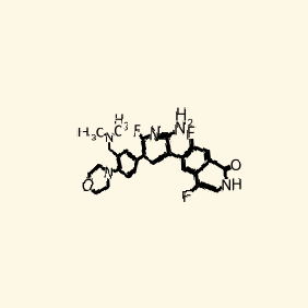 CN(C)Cc1cc(-c2cc(-c3cc4c(F)c[nH]c(=O)c4cc3F)c(N)nc2F)ccc1N1CCOCC1